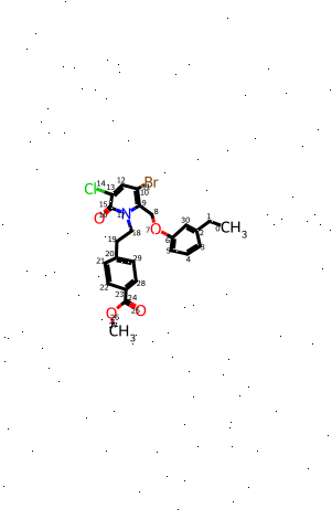 CCc1cccc(OCc2c(Br)cc(Cl)c(=O)n2CCc2ccc(C(=O)OC)cc2)c1